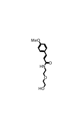 COc1ccc(C=CC(=O)NCCOCCO)cc1